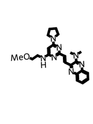 COCCNc1cc(N2CCCC2)nc(/C=C/c2nc3ccccc3nc2N(C)C)n1